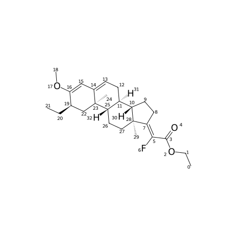 CCOC(=O)C(F)=C1CC[C@H]2[C@@H]3CC=C4C=C(OC)[C@H](CC)C[C@]4(C)[C@H]3CC[C@]12C